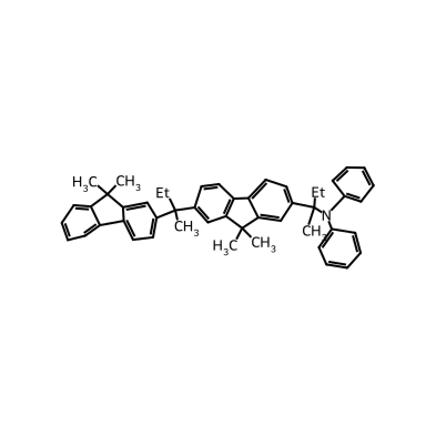 CCC(C)(c1ccc2c(c1)C(C)(C)c1ccccc1-2)c1ccc2c(c1)C(C)(C)c1cc(C(C)(CC)N(c3ccccc3)c3ccccc3)ccc1-2